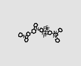 FC(F)(F)C(c1ccc(-c2nc(-c3ccccc3)cc(-c3ccccc3)n2)cc1)(c1ccc(-n2c3ccccc3c3cc(-c4ccc5c(c4)c4ccccc4n5-c4ccccc4)ccc32)cc1)C(F)(F)F